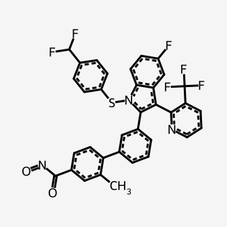 Cc1cc(C(=O)N=O)ccc1-c1cccc(-c2c(-c3ncccc3C(F)(F)F)c3cc(F)ccc3n2Sc2ccc(C(F)F)cc2)c1